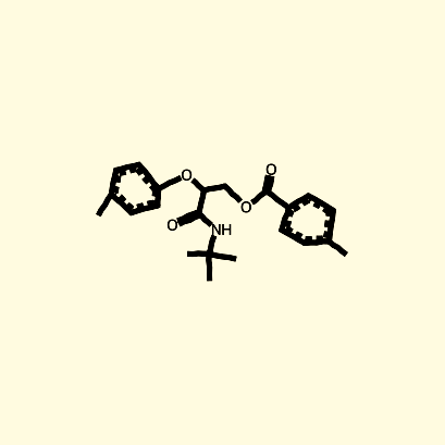 Cc1ccc(OC(COC(=O)c2ccc(C)cc2)C(=O)NC(C)(C)C)cc1